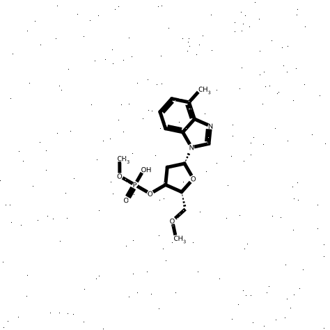 COC[C@H]1O[C@@H](n2cnc3c(C)cccc32)CC1OP(=O)(O)OC